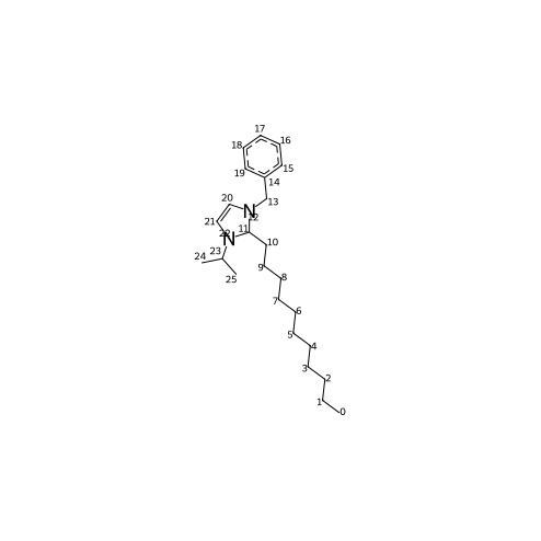 CCCCCCCCCCCC1N(Cc2ccccc2)C=CN1C(C)C